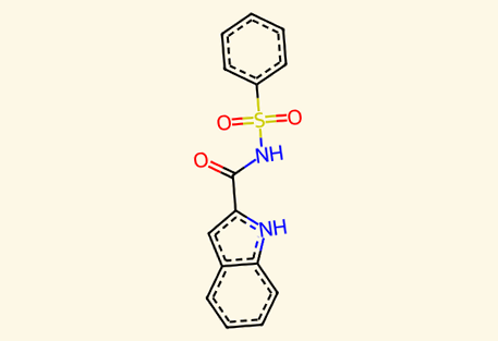 O=C(NS(=O)(=O)c1ccccc1)c1cc2ccccc2[nH]1